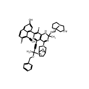 C#Cc1c(F)ccc2cc(O)cc(-c3nc(C#CC(C)(C)OCc4ccccc4)c4c(c3F)NC(C)(OC[C@@]35CCCN3C[C@H](F)C5)N=C4N3CC4CCC(C3)N4)c12